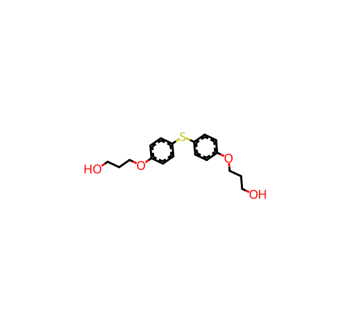 OCCCOc1ccc(Sc2ccc(OCCCO)cc2)cc1